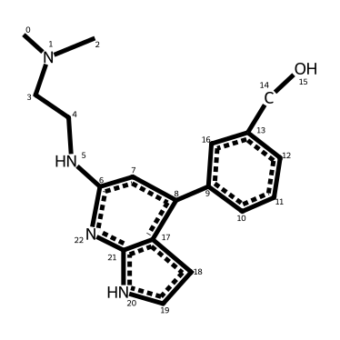 CN(C)CCNc1cc(-c2cccc(CO)c2)c2cc[nH]c2n1